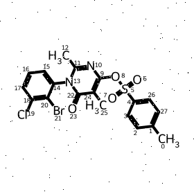 Cc1ccc(S(=O)(=O)Oc2nc(C)n(-c3cccc(Cl)c3Br)c(=O)c2C)cc1